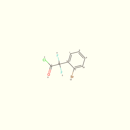 O=C(Cl)C(F)(F)c1ccccc1Br